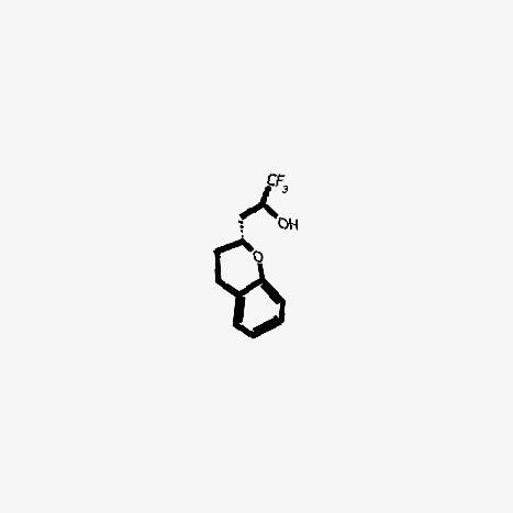 OC(C[C@H]1CCc2ccccc2O1)C(F)(F)F